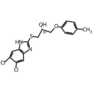 Cc1ccc(OC[C@@H](O)CSc2nc3cc(Cl)c(Cl)cc3[nH]2)cc1